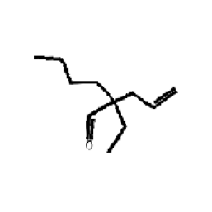 C=CCC(C=O)(CC)CCCC